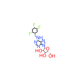 OC[C@H]1OC(n2cnc3c(NCc4cc(F)c(F)cc4F)ncnc32)[C@H](O)[C@@H]1O